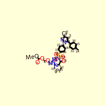 COC(=O)OCO/N=[N+](\[O-])N(C)[C@@H](CC(C)C)C(=O)NS(=O)(=O)c1ccc(-n2nc(C(F)(F)F)cc2-c2ccc(C)cc2)cc1